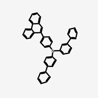 c1ccc(-c2ccc(N(c3ccc(-c4cc5ccccc5c5ccccc45)cc3)c3cccc(-c4ccccc4)c3)cc2)cc1